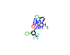 C[C@H](NC(=O)c1cc(Cl)cc(C(F)(F)F)c1)c1ncnn1-c1ncccc1Cl